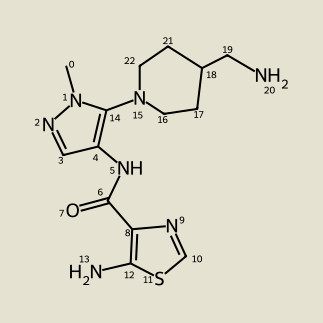 Cn1ncc(NC(=O)c2ncsc2N)c1N1CCC(CN)CC1